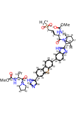 COC(=O)NC(/C=C/CS(C)(=O)=O)C(=O)N1[C@@H]2CC[C@@H](C2)[C@H]1c1nc2ccc(-c3ccc4c(c3)sc3cc(-c5cnc([C@@H]6CCCN6C(=O)[C@@H](NC(=O)OC)C(C)C)[nH]5)ccc34)cc2[nH]1